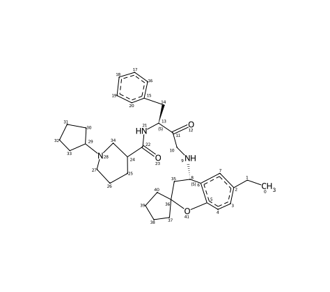 CCc1ccc2c(c1)[C@@H](NCC(=O)[C@H](Cc1ccccc1)NC(=O)C1CCCN(C3CCCC3)C1)CC1(CCCC1)O2